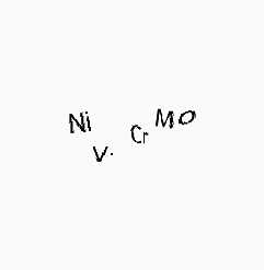 [Cr].[Mo].[Ni].[V]